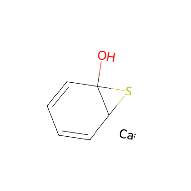 OC12C=CC=CC1S2.[Ca]